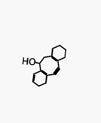 OC1CC2=C(C#CC3=C1C=CCC3)CCCC2